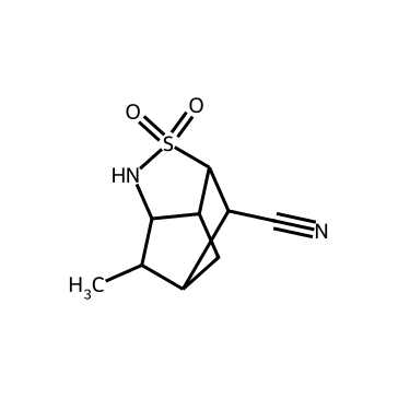 CC1C2CC3C1NS(=O)(=O)C3C2C#N